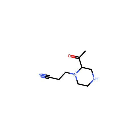 CC(=O)C1CNCCN1CCC#N